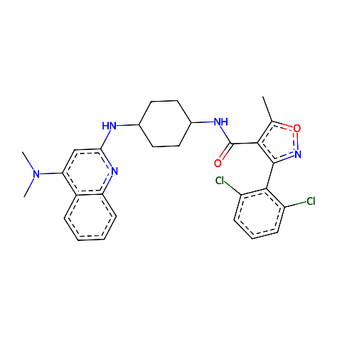 Cc1onc(-c2c(Cl)cccc2Cl)c1C(=O)NC1CCC(Nc2cc(N(C)C)c3ccccc3n2)CC1